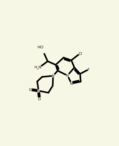 CC(N)c1cc(Cl)c2c(F)cnn2c1N1CCS(=O)(=O)CC1.Cl